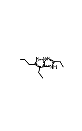 CCCc1nn2nc(CC)[nH]c2c1CC